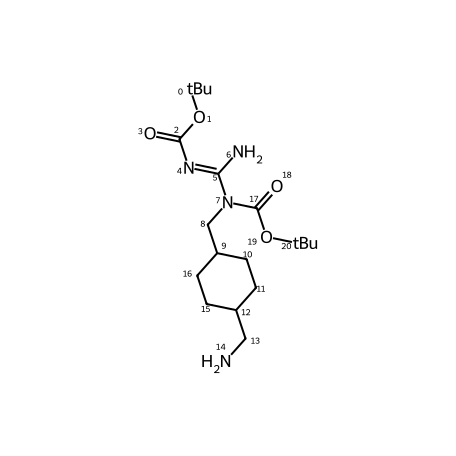 CC(C)(C)OC(=O)N=C(N)N(CC1CCC(CN)CC1)C(=O)OC(C)(C)C